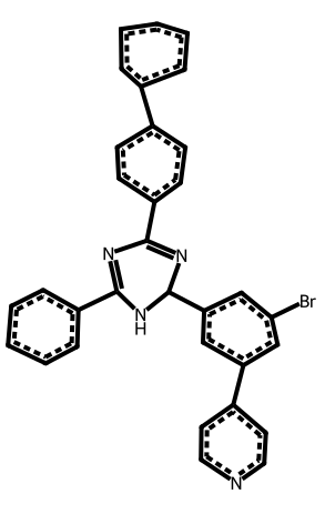 Brc1cc(-c2ccncc2)cc(C2N=C(c3ccc(-c4ccccc4)cc3)N=C(c3ccccc3)N2)c1